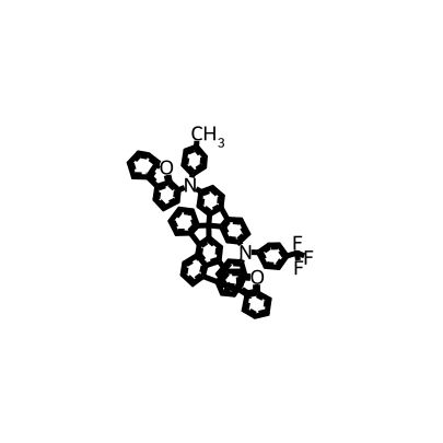 Cc1ccc(N(c2ccc3c(c2)C2(c4cc(N(c5ccc(C(F)(F)F)cc5)c5cccc6c5oc5ccccc56)ccc4-3)c3ccccc3-c3c2cc2c4c(cccc34)-c3ccccc3-2)c2cccc3c2oc2ccccc23)cc1